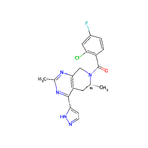 Cc1nc2c(c(-c3ccn[nH]3)n1)C[C@@H](C)N(C(=O)c1ccc(F)cc1Cl)C2